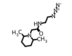 CC1CCCC(C)N1CC(=O)NCCN=[N+]=[N-]